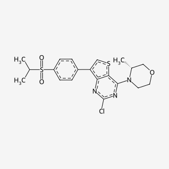 CC(C)S(=O)(=O)c1ccc(-c2csc3c(N4CCOC[C@H]4C)nc(Cl)nc23)cc1